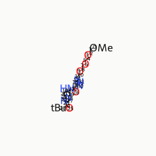 COCCOCCOCCOCCn1cc(C(=O)Nc2ccc3nc(C(=O)C(C)(C)C)cn3c2)nn1